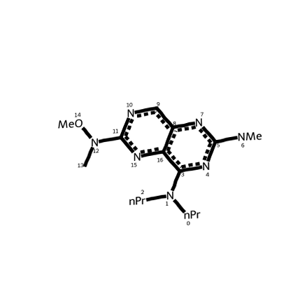 CCCN(CCC)c1nc(NC)nc2cnc(N(C)OC)nc12